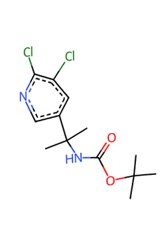 CC(C)(C)OC(=O)NC(C)(C)c1cnc(Cl)c(Cl)c1